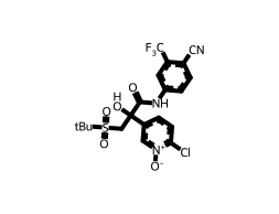 CC(C)(C)S(=O)(=O)CC(O)(C(=O)Nc1ccc(C#N)c(C(F)(F)F)c1)c1ccc(Cl)[n+]([O-])c1